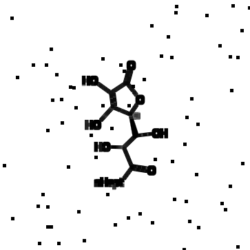 CCCCCCCC(=O)C(O)C(O)[C@@H]1OC(=O)C(O)=C1O